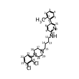 Cc1ccccc1-c1ccc(NCCCCN2CCN(c3cccc(Cl)c3Cl)CC2)nc1